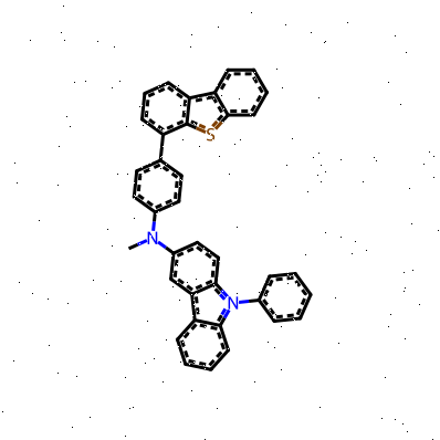 CN(c1ccc(-c2cccc3c2sc2ccccc23)cc1)c1ccc2c(c1)c1ccccc1n2-c1ccccc1